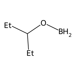 BOC(CC)CC